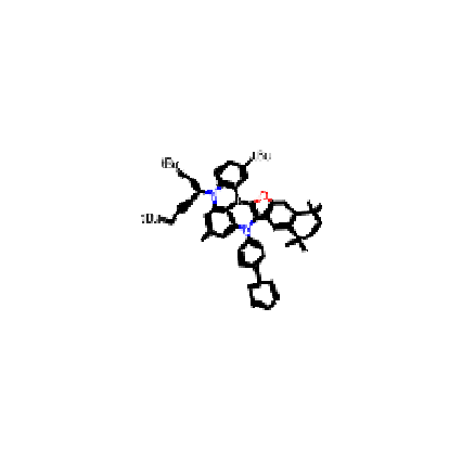 Cc1cc2c3c(c1)N(c1ccc(-c4ccccc4)cc1)c1c(oc4c1C=C1C(C4)C(C)(C)CCC1(C)C)B3c1cc(C(C)(C)C)ccc1N2/C(C#CCC(C)(C)C)=C/CC(C)(C)C